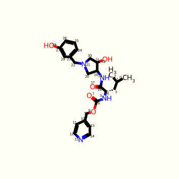 CC(C)C[C@H](NC(=O)OCc1ccncc1)C(=O)NC1CN(Cc2cccc(O)c2)CC1O